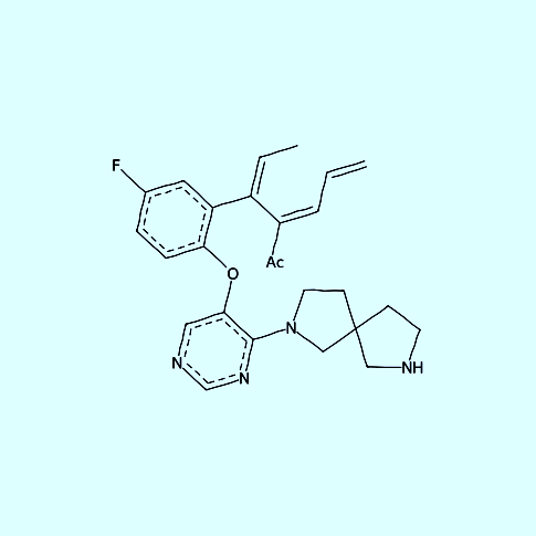 C=C/C=C(C(C)=O)\C(=C/C)c1cc(F)ccc1Oc1cncnc1N1CCC2(CCNC2)C1